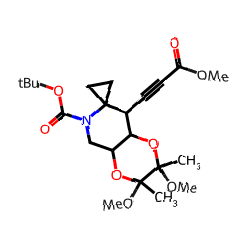 COC(=O)C#CC1C2OC(C)(OC)C(C)(OC)OC2CN(C(=O)OC(C)(C)C)C12CC2